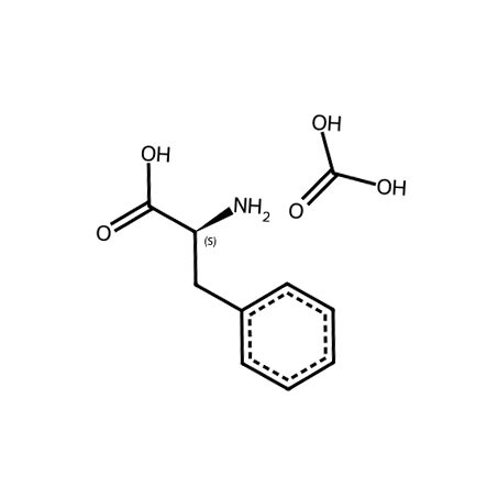 N[C@@H](Cc1ccccc1)C(=O)O.O=C(O)O